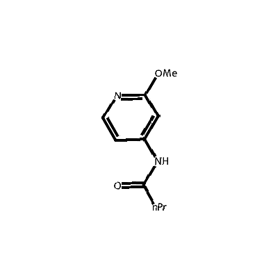 CCCC(=O)Nc1ccnc(OC)c1